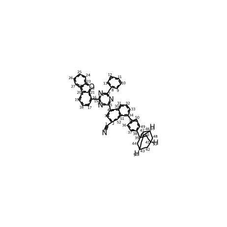 N#Cc1cc(-c2nc(-c3ccccc3)nc(-c3cccc4c3oc3ccccc34)n2)c2cccc(-c3ccc(C45C[C@H]6C[C@H](C4)C[C@@H](C5)C6)cc3)c2c1